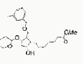 COC(=O)CCC/C=C\C[C@H]1[C@H](COCc2cccc(C)c2)[C@@H](OC2CCCCO2)C[C@H]1O